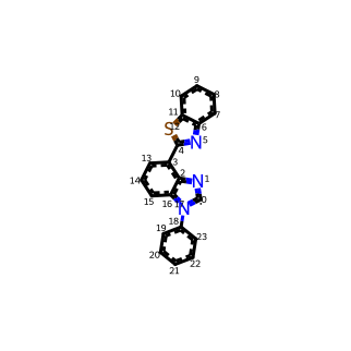 [c]1nc2c(-c3nc4ccccc4s3)cccc2n1-c1ccccc1